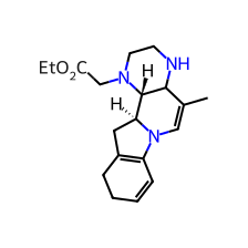 CCOC(=O)CN1CCNC2C(C)=CN3C4=C(CCC=C4)C[C@H]3[C@@H]21